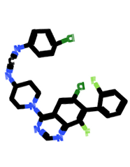 Fc1ccccc1-c1c(Cl)cc2c(N3CCC(N=C=Nc4ccc(Cl)cc4)CC3)ncnc2c1F